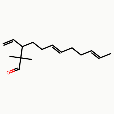 C=CC(CCC=CCCC=CC)C(C)(C)C=O